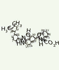 Cc1ccc(-c2cccc(-c3nc4c(ccc5cc(C(=O)N[C@H](C(=O)O)c6ccccc6)cc(O)c54)[nH]3)c2)cc1C